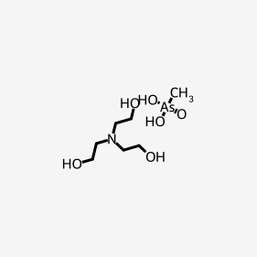 C[As](=O)(O)O.OCCN(CCO)CCO